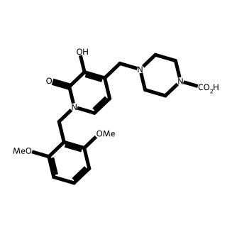 COc1cccc(OC)c1Cn1ccc(CN2CCN(C(=O)O)CC2)c(O)c1=O